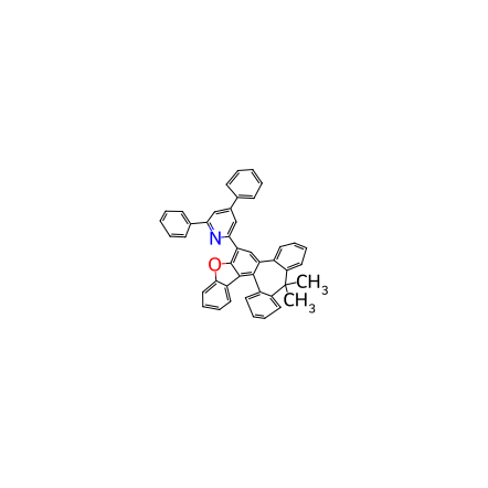 CC1(C)c2ccccc2-c2cc(-c3cc(-c4ccccc4)cc(-c4ccccc4)n3)c3oc4ccccc4c3c2-c2ccccc21